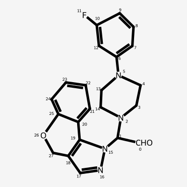 O=CC(N1CCN(c2cccc(F)c2)CC1)n1ncc2c1-c1ccccc1OC2